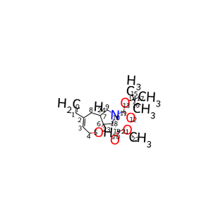 C=CC1=CCO[C@@H]2[C@@H](C1)CN(C(=O)OC(C)(C)C)[C@@H]2C(=O)OC